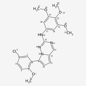 COc1ccc(Cl)cc1-c1ccc2cnc(Nc3cc(OC)c(OC)c(OC)c3)nn12